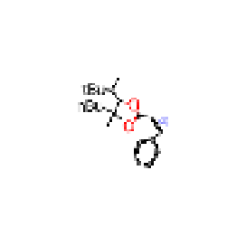 CCCCC(C)(C)C(OC(=O)/C=C\c1ccccc1)C(C)C(C)(C)C